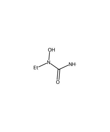 CCN(O)C([NH])=O